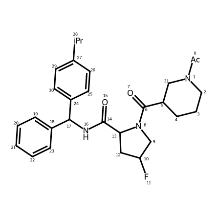 CC(=O)N1CCCC(C(=O)N2CC(F)CC2C(=O)NC(c2ccccc2)c2ccc(C(C)C)cc2)C1